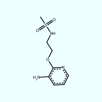 CS(=O)(=O)NCCOc1ncccc1N